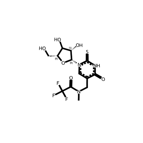 CN(Cc1cn([C@@H]2O[C@H](CO)C(O)[C@@H]2O)c(=S)[nH]c1=O)C(=O)C(F)(F)F